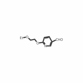 CCOCCOc1ccc(C=O)cn1